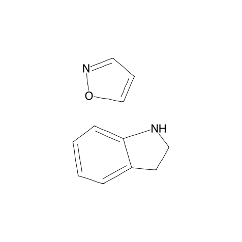 c1ccc2c(c1)CCN2.c1cnoc1